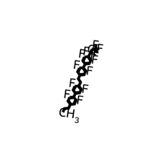 CCCc1cc(F)c(-c2cc(F)c(CCc3cc(F)c(-c4cc(F)c(C(F)(F)OC(F)(F)F)c(F)c4)c(F)c3)c(F)c2)c(F)c1